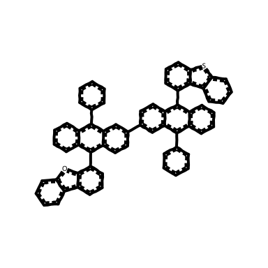 c1ccc(-c2c3ccccc3c(-c3cccc4c3oc3ccccc34)c3ccc(-c4ccc5c(-c6cccc7sc8ccccc8c67)c6ccccc6c(-c6ccccc6)c5c4)cc23)cc1